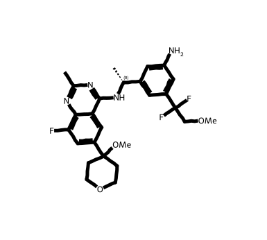 COCC(F)(F)c1cc(N)cc([C@@H](C)Nc2nc(C)nc3c(F)cc(C4(OC)CCOCC4)cc23)c1